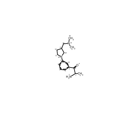 CC(N)C(=O)c1cccc(N2CCC(CN(C)C)C2)c1